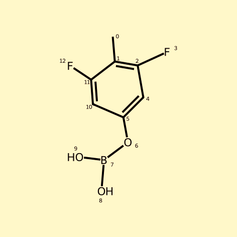 Cc1c(F)cc(OB(O)O)cc1F